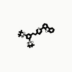 CC1(C)OB(c2cc(CCc3ccc(-c4cccc5c4oc4ccccc45)nc3)cc(B3OC(C)(C)C(C)(C)O3)c2)OC1(C)C